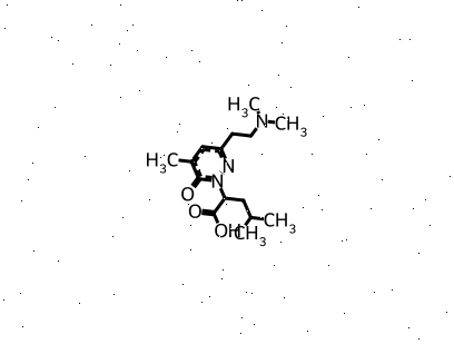 Cc1cc(CCN(C)C)nn(C(CC(C)C)C(=O)O)c1=O